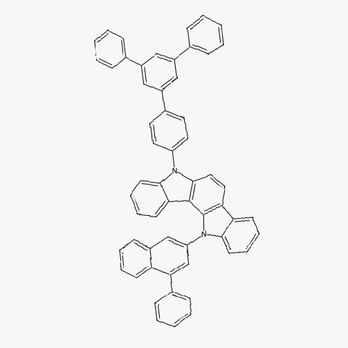 c1ccc(-c2cc(-c3ccccc3)cc(-c3ccc(-n4c5ccccc5c5c4ccc4c6ccccc6n(-c6cc(-c7ccccc7)c7ccccc7c6)c45)cc3)c2)cc1